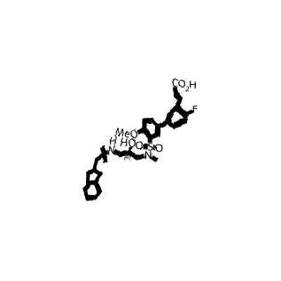 COc1ccc(-c2ccc(F)c(C=CC(=O)O)c2)cc1S(=O)(=O)N(C)C[C@H](O)CNC(C)(C)CC1Cc2ccccc2C1